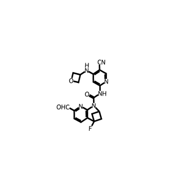 N#Cc1cnc(NC(=O)N2c3nc(C=O)ccc3C3(F)CC2C3)cc1NC1COC1